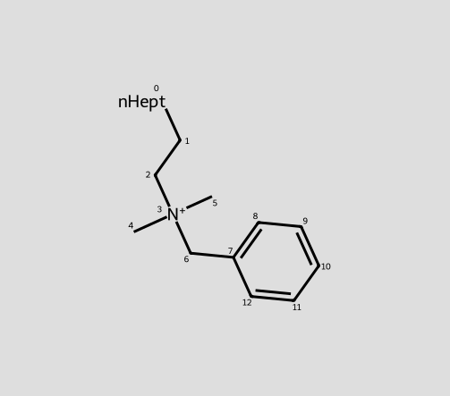 CCCCCCCCC[N+](C)(C)Cc1ccccc1